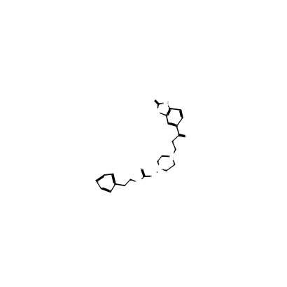 O=C(OCCc1ccccc1)ON1CCN(CCC(=O)c2ccc3[nH]c(=O)oc3c2)CC1